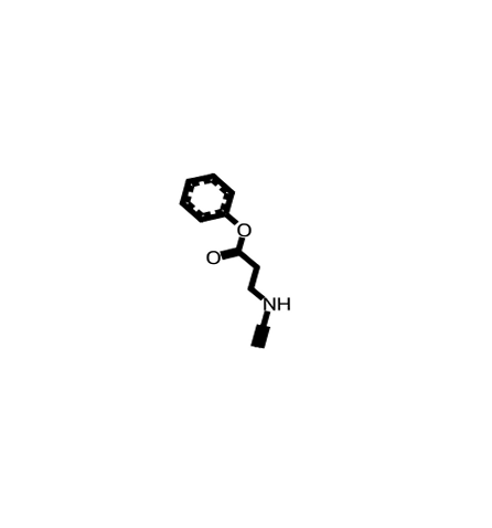 C#CNCCC(=O)Oc1ccccc1